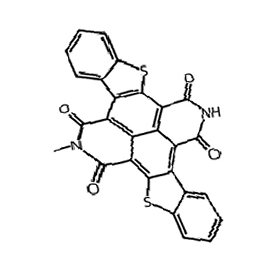 CN1C(=O)c2c3sc4ccccc4c3c3c4c(c5sc6ccccc6c5c(c24)C1=O)C(=O)NC3=O